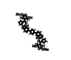 COC(=O)N[C@H](C(=O)N1CCC[C@H]1c1nc2ccc(-c3ccc(-c4ccc5nc([C@@H]6CCCN6C(=O)[C@@H](NC(=O)OC)C(C)(C)O)[nH]c5c4)cc3)cc2[nH]1)C(C)(C)O